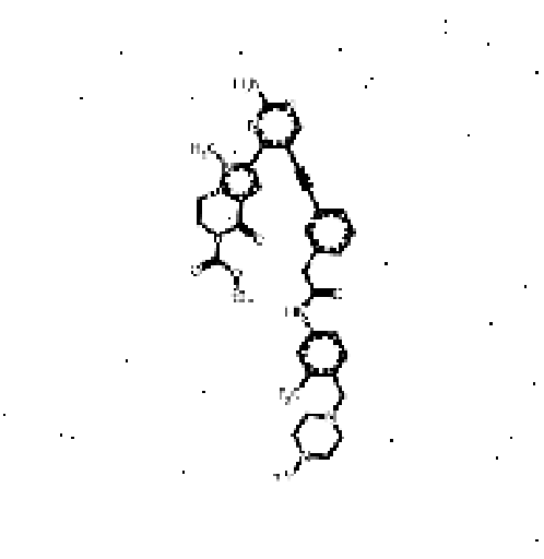 CCCN1CCN(Cc2ccc(NC(=O)Cc3cccc(C#Cc4cnc(N)nc4-c4cc5c(n4C)CCN(C(=O)OC(C)(C)C)C5=O)c3)cc2C(F)(F)F)CC1